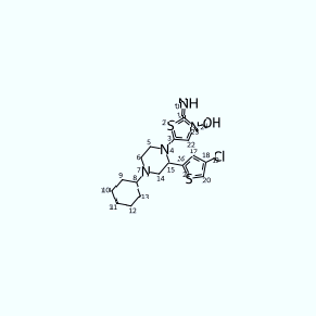 N=c1sc(N2CCN(C3CCCCC3)CC2c2cc(Cl)cs2)cn1O